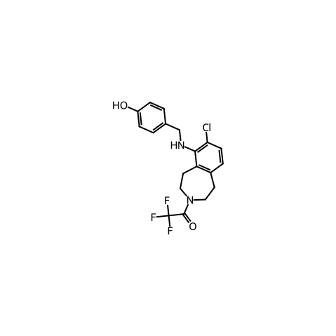 O=C(N1CCc2ccc(Cl)c(NCc3ccc(O)cc3)c2CC1)C(F)(F)F